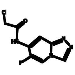 O=C(CCl)Nc1cc2nncn2cc1F